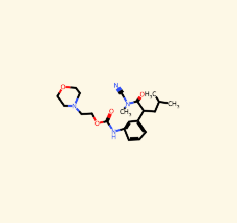 CC(C)CC(C(=O)N(C)C#N)c1cccc(NC(=O)OCCN2CCOCC2)c1